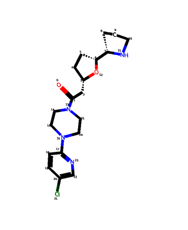 O=C(C[C@@H]1CC[C@H]([C@@H]2CCCN2)O1)N1CCN(c2ccc(Cl)cn2)CC1